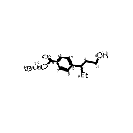 CCC(CCO)c1ccc(C(=O)OC(C)(C)C)cc1